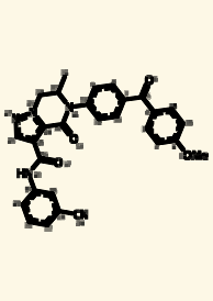 COc1ccc(C(=O)c2ccc(N3C(=O)c4c(C(=O)Nc5cccc(C#N)c5)cnn4CC3C)cc2)cc1